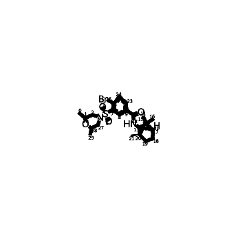 CC1CN(S(=O)(=O)c2cc(C(=O)NC3C(C)(C)[C@@H]4CC[C@@]3(C)C4)ccc2Br)CC(C)O1